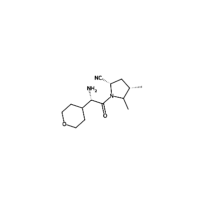 CC1[C@@H](C)C[C@@H](C#N)N1C(=O)[C@@H](N)C1CCOCC1